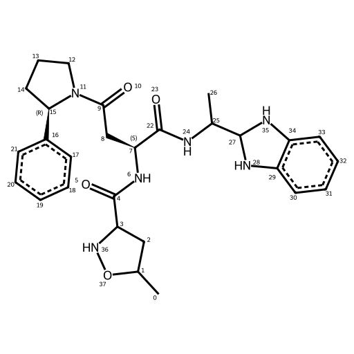 CC1CC(C(=O)N[C@@H](CC(=O)N2CCC[C@@H]2c2ccccc2)C(=O)NC(C)C2Nc3ccccc3N2)NO1